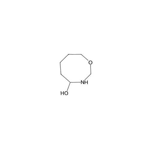 OC1CCCCOCN1